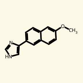 COc1ccc2cc(-c3c[nH]cn3)ccc2c1